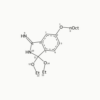 CCCCCCCCOc1ccc2c(c1)C(=N)NC2(OCC)OCC